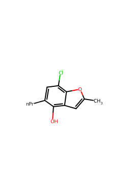 CCCc1cc(Cl)c2oc(C)cc2c1O